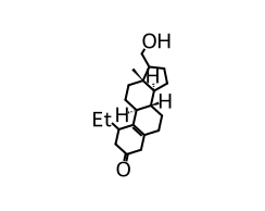 CCC1CC(=O)CC2=C1[C@H]1CC[C@]3(C)C(CO)CC[C@H]3[C@@H]1CC2